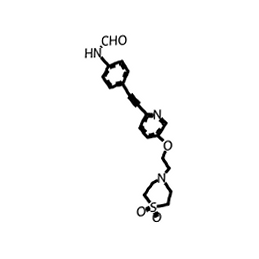 O=CNc1ccc(C#Cc2ccc(OCCN3CCS(=O)(=O)CC3)cn2)cc1